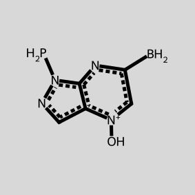 Bc1c[n+](O)c2cnn(P)c2n1